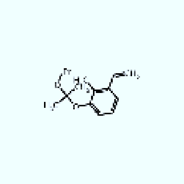 C=Cc1cccc(OC(C)(C)OC(C)C)c1C